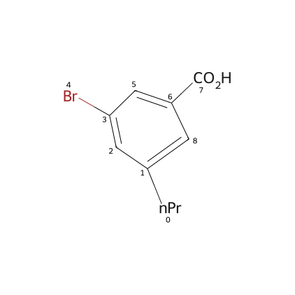 CCCc1cc(Br)cc(C(=O)O)c1